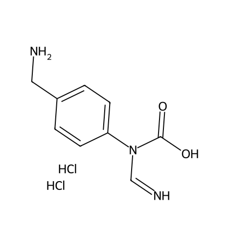 Cl.Cl.N=CN(C(=O)O)c1ccc(CN)cc1